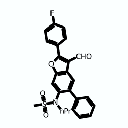 CCCN(c1cc2oc(-c3ccc(F)cc3)c(C=O)c2cc1-c1ccccc1)S(C)(=O)=O